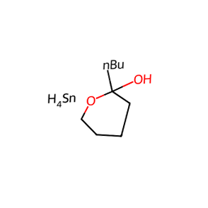 CCCCC1(O)CCCCO1.[SnH4]